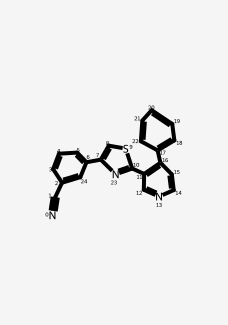 N#Cc1cccc(-c2csc(-c3cnccc3-c3ccccc3)n2)c1